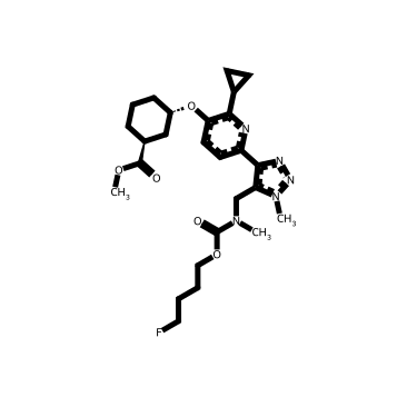 COC(=O)[C@H]1CCC[C@H](Oc2ccc(-c3nnn(C)c3CN(C)C(=O)OCCCCF)nc2C2CC2)C1